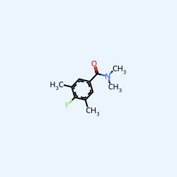 Cc1cc(C(=O)N(C)C)cc(C)c1F